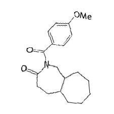 COc1ccc(C(=O)N2CC3CCCCCC3CCC2=O)cc1